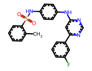 Cc1ccccc1S(=O)(=O)Nc1ccc(Nc2cc(-c3cccc(F)c3)ncn2)cc1